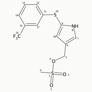 CS(=O)(=O)OCc1c[nH]c(Sc2cccc(C(F)(F)F)c2)c1